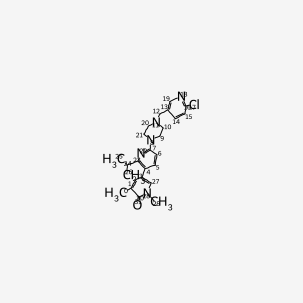 Cc1cc(-c2ccc(N3CCN(Cc4ccc(Cl)nc4)CC3)nc2C(C)C)cn(C)c1=O